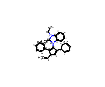 C=CC1C=C(C2C=CC=CC2)C(N2c3ccccc3N(CC(C)C)C2C)=C1c1ccccc1